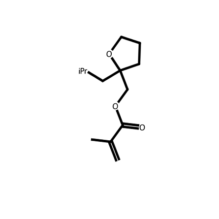 C=C(C)C(=O)OCC1(CC(C)C)CCCO1